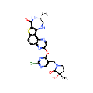 C[C@@H]1CNc2c(sc3ccc4nc(Oc5nc(Cl)ncc5CN5CCC(C)(O)C5=O)cnc4c23)C(=O)N1